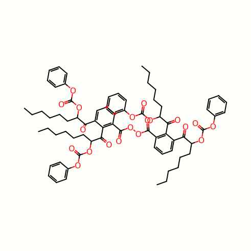 CCCCCCC(OC(=O)Oc1ccccc1)C(=O)c1cccc(C(=O)OOC(=O)c2cccc(C(=O)C(CCCCCC)OC(=O)Oc3ccccc3)c2C(=O)C(CCCCCC)OC(=O)Oc2ccccc2)c1C(=O)C(CCCCCC)OC(=O)Oc1ccccc1